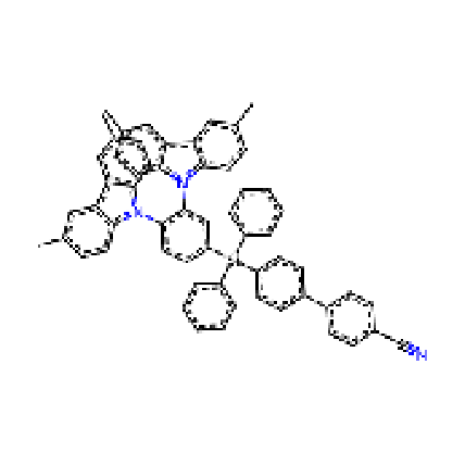 Cc1ccc2c(c1)c1cc(C)ccc1n2-c1ccc([Si](c2ccccc2)(c2ccccc2)c2ccc(-c3ccc(C#N)cc3)cc2)cc1-n1c2ccc(C)cc2c2cc(C)ccc21